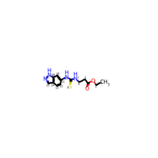 CCOC(=O)CCNC(=S)Nc1ccc2cn[nH]c2c1